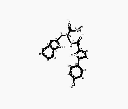 CNC(=O)[C@H](Cc1cc2ccccc2s1)NC(=O)c1ccc(-c2ccc(Cl)cc2)o1